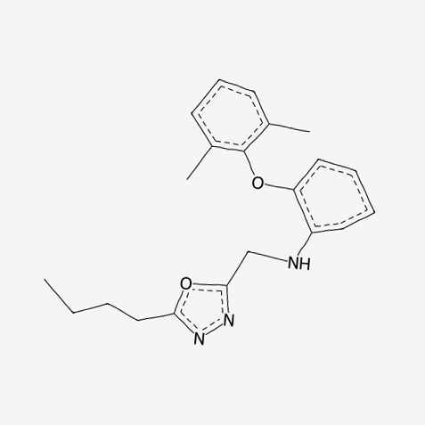 CCCCc1nnc(CNc2ccccc2Oc2c(C)cccc2C)o1